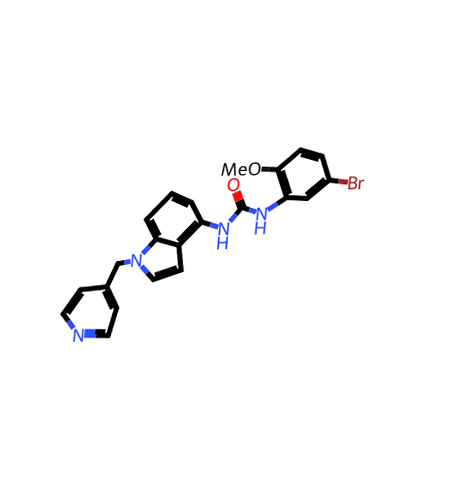 COc1ccc(Br)cc1NC(=O)Nc1cccc2c1ccn2Cc1ccncc1